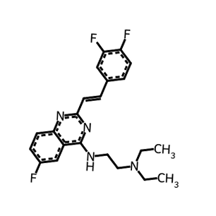 CCN(CC)CCNc1nc(C=Cc2ccc(F)c(F)c2)nc2ccc(F)cc12